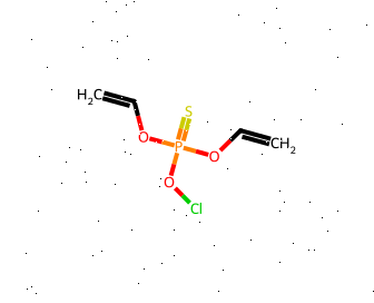 C=COP(=S)(OCl)OC=C